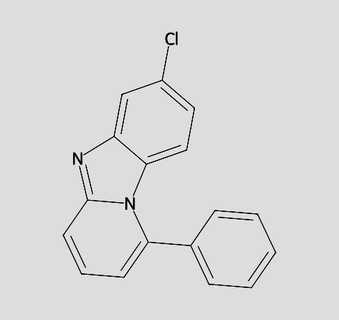 Clc1ccc2c(c1)nc1cccc(-c3ccccc3)n12